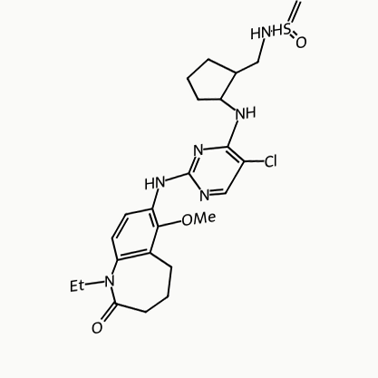 CCN1C(=O)CCCc2c1ccc(Nc1ncc(Cl)c(NC3CCCC3CN[SH](=O)=O)n1)c2OC